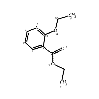 CCOC(=O)c1cccnc1OCC